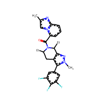 CCC1Cc2c(nn(C)c2-c2cc(F)c(F)c(F)c2)C(CC)N1C(=O)c1cccc2nc(C)cn12